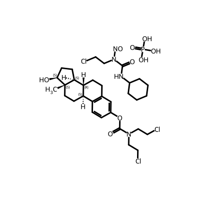 C[C@]12CC[C@@H]3c4ccc(OC(=O)N(CCCl)CCCl)cc4CC[C@H]3[C@@H]1CC[C@@H]2O.O=NN(CCCl)C(=O)NC1CCCCC1.O=P(O)(O)O